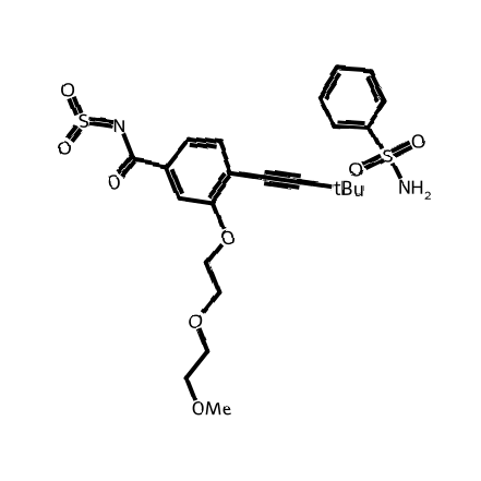 COCCOCCOc1cc(C(=O)N=S(=O)=O)ccc1C#CC(C)(C)C.NS(=O)(=O)c1ccccc1